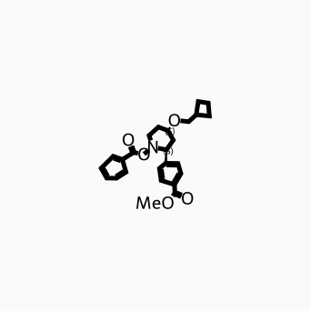 COC(=O)c1ccc([C@@H]2C[C@@H](OCC3CCC3)CCN2OC(=O)c2ccccc2)cc1